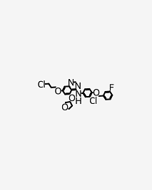 Fc1cccc(COc2ccc(Nc3ncnc4cc(OCCCCl)cc(OC5CCOC5)c34)cc2Cl)c1